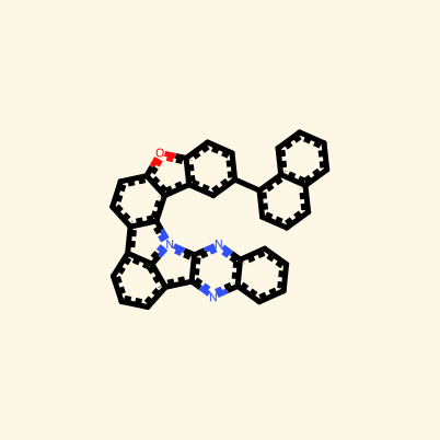 c1ccc2c(-c3ccc4oc5ccc6c7cccc8c9nc%10ccccc%10nc9n(c78)c6c5c4c3)cccc2c1